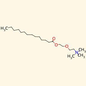 CCCCCCCCCCCCCC(=O)OCCOCC[N+](C)(C)C